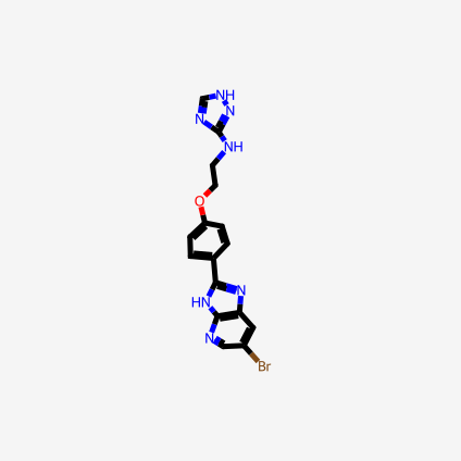 Brc1cnc2[nH]c(-c3ccc(OCCNc4nc[nH]n4)cc3)nc2c1